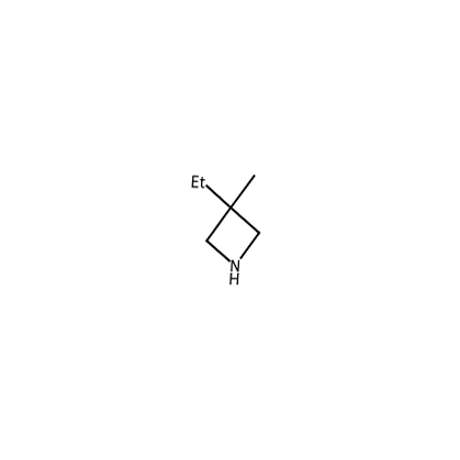 CCC1(C)CNC1